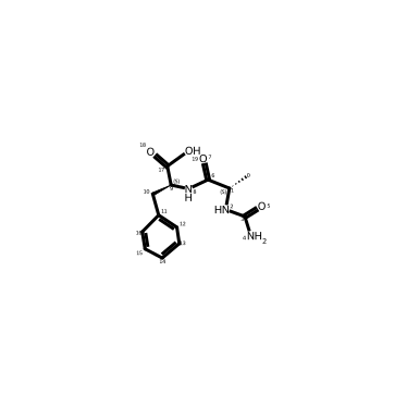 C[C@H](NC(N)=O)C(=O)N[C@@H](Cc1ccccc1)C(=O)O